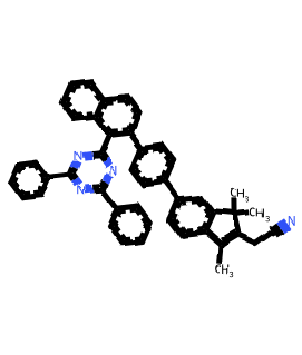 CC1=C(CC#N)C(C)(C)c2cc(-c3ccc(-c4ccc5ccccc5c4-c4nc(-c5ccccc5)nc(-c5ccccc5)n4)cc3)ccc21